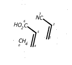 C.C=CC#N.C=CC(=O)O